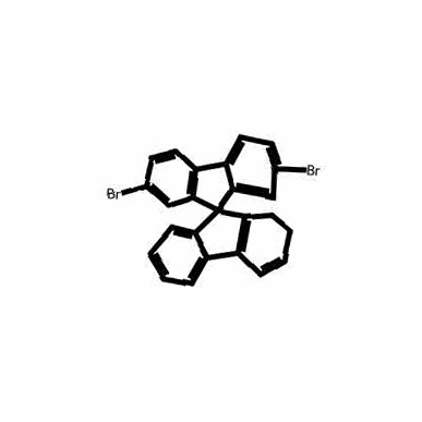 Brc1ccc2c(c1)C1(C3=C(C=CCC3)c3ccccc31)c1cc(Br)ccc1-2